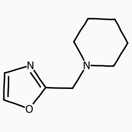 c1coc(CN2CCCCC2)n1